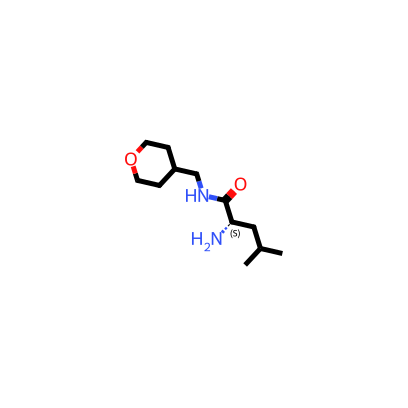 CC(C)C[C@H](N)C(=O)NCC1CCOCC1